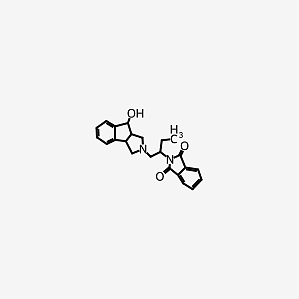 CCC(CN1CC2c3ccccc3C(O)C2C1)N1C(=O)c2ccccc2C1=O